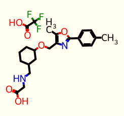 Cc1ccc(-c2nc(COC3CCCC(CNCC(=O)O)C3)c(C)o2)cc1.O=C(O)C(F)(F)F